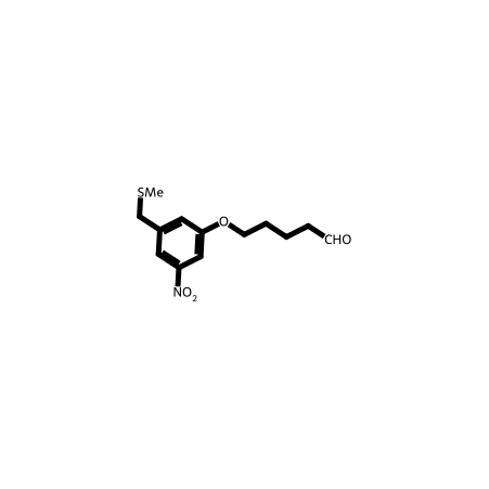 CSCc1cc(OCCCCC=O)cc([N+](=O)[O-])c1